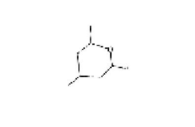 [CH2]C1CC(C)CC(C)O1